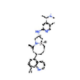 CC1NCCc2cnc(N[C@@H]3C[C@H]4CCCC(c5ccc(C#N)c6ncccc56)C[C@@H](C)N4C3)cc21